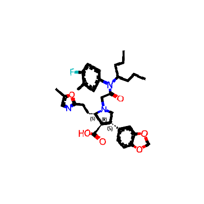 CCCC(CCC)N(C(=O)CN1C[C@H](c2ccc3c(c2)OCO3)[C@@H](C(=O)O)[C@@H]1CCc1ncc(C)o1)c1ccc(F)c(C)c1